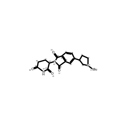 CC(C)(C)N1CCC(c2ccc3c(c2)C(=O)N(C2CCC(=O)NC2=O)C3=O)C1